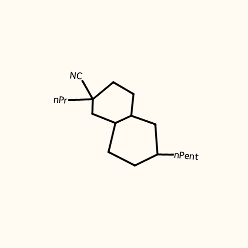 CCCCCC1CCC2CC(C#N)(CCC)CCC2C1